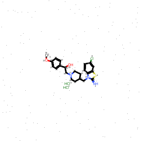 Cl.Cl.N=c1sc2cc(Cl)ccc2n1CC1CCN(CC(O)c2ccc(OC(F)(F)F)cc2)CC1